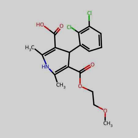 COCCOC(=O)C1=C(C)NC(C)=C(C(=O)O)C1c1cccc(Cl)c1Cl